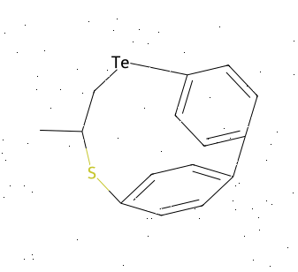 CC1C[Te]c2ccc(cc2)-c2ccc(cc2)S1